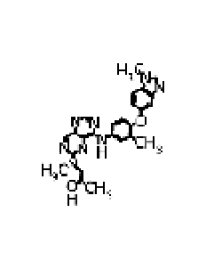 Cc1cc(Nc2ncnc3cnc(N(C)C[C@@H](C)O)nc23)ccc1Oc1ccc2c(c1)ncn2C